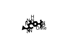 COc1cc2c(cc1-c1c(C)noc1C)[nH]c1ncnc(-c3c(C)nn(C)c3C3CC3)c12